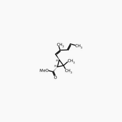 CC=CC(C)=C[C@@H]1[C@@H](C(=O)OC)C1(C)C